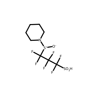 O=S(=O)(O)C(F)(F)C(F)(F)C(F)(F)[S+]([O-])N1CCCCC1